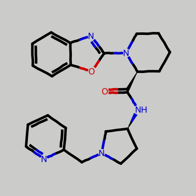 O=C(N[C@H]1CCN(Cc2ccccn2)C1)[C@@H]1CCCCN1c1nc2ccccc2o1